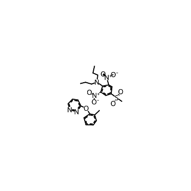 CCCN(CCC)c1c([N+](=O)[O-])cc(S(C)(=O)=O)cc1[N+](=O)[O-].Cc1ccccc1Oc1cccnn1